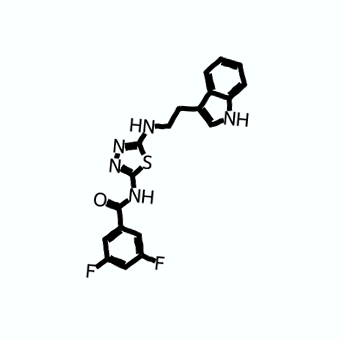 O=C(Nc1nnc(NCCc2c[nH]c3ccccc23)s1)c1cc(F)cc(F)c1